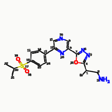 CC(CN)c1nnc(-c2cncc(-c3ccc(S(=O)(=O)C(C)C)cc3)n2)o1